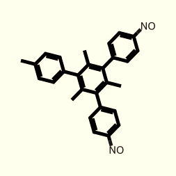 Cc1ccc(-c2c(C)c(-c3ccc(N=O)cc3)c(C)c(-c3ccc(N=O)cc3)c2C)cc1